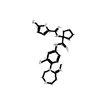 CN=C1CCOCCN1c1ccc(NC(=O)C2(NC(=O)c3ccc(Br)s3)CCCC2)cc1Cl